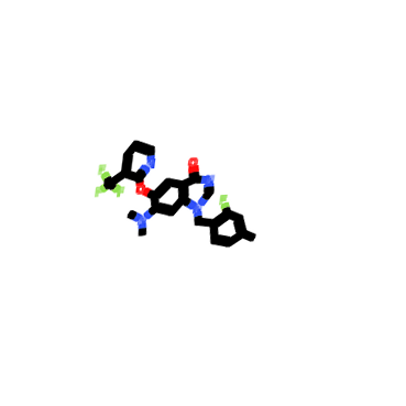 Cc1ccc(Cn2cnc(=O)c3cc(Oc4ncccc4C(F)(F)F)c(N(C)C)cc32)c(F)c1